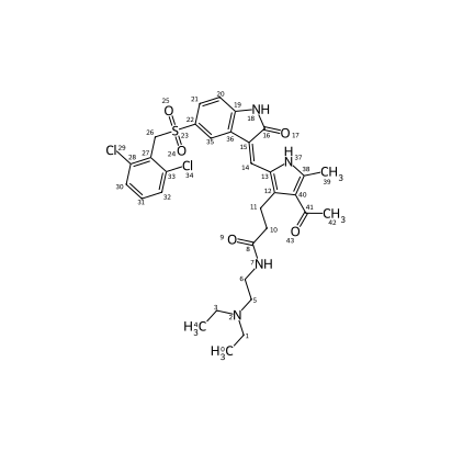 CCN(CC)CCNC(=O)CCc1c(/C=C2\C(=O)Nc3ccc(S(=O)(=O)Cc4c(Cl)cccc4Cl)cc32)[nH]c(C)c1C(C)=O